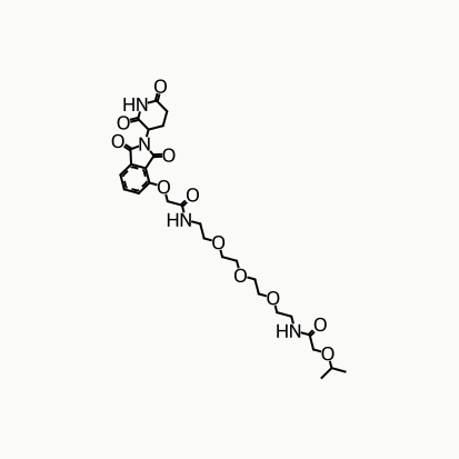 CC(C)OCC(=O)NCCOCCOCCOCCNC(=O)COc1cccc2c1C(=O)N(C1CCC(=O)NC1=O)C2=O